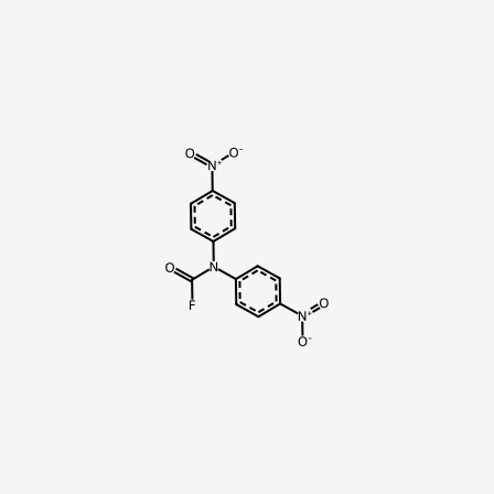 O=C(F)N(c1ccc([N+](=O)[O-])cc1)c1ccc([N+](=O)[O-])cc1